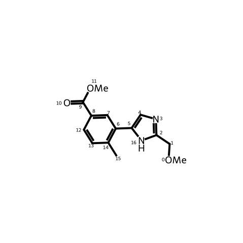 COCc1ncc(-c2cc(C(=O)OC)ccc2C)[nH]1